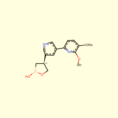 CCCOc1nc(-c2cncc([C@H]3COB(O)C3)c2)ccc1OC